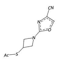 CC(=O)SC1CN(c2nc(C#N)co2)C1